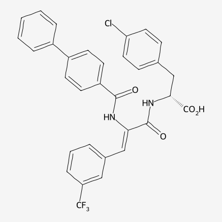 O=C(N[C@H](Cc1ccc(Cl)cc1)C(=O)O)/C(=C/c1cccc(C(F)(F)F)c1)NC(=O)c1ccc(-c2ccccc2)cc1